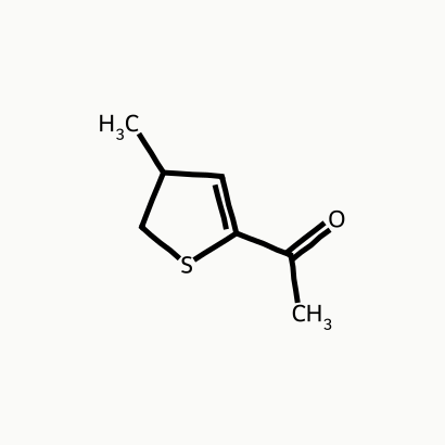 CC(=O)C1=CC(C)CS1